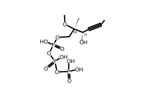 CC#C[C@H](O)[C@@](C)(COP(=O)(O)OP(=O)(O)OP(=O)(O)O)OC